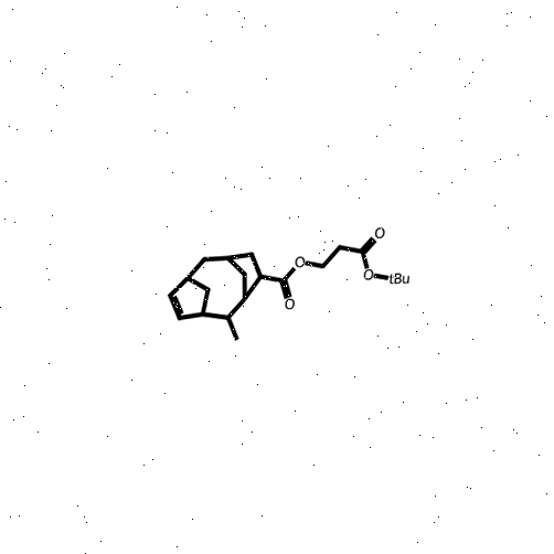 CC1C2C=CC(CC3CC(C(=O)OCCC(=O)OC(C)(C)C)C1C3)C2